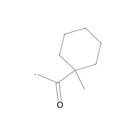 [CH2]C(=O)C1(C)CCCCC1